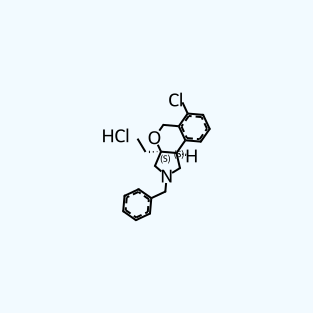 CC[C@@]12CN(Cc3ccccc3)C[C@@H]1c1cccc(Cl)c1CO2.Cl